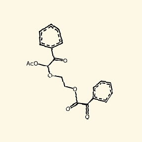 CC(=O)OC(OCCOC(=O)C(=O)c1ccccc1)C(=O)c1ccccc1